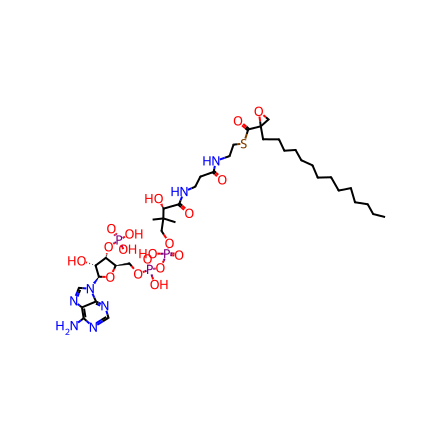 CCCCCCCCCCCCCCC1(C(=O)SCCNC(=O)CCNC(=O)[C@H](O)C(C)(C)COP(=O)(O)OP(=O)(O)OC[C@H]2O[C@@H](n3cnc4c(N)ncnc43)[C@H](O)[C@@H]2OP(=O)(O)O)CO1